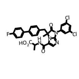 CC(NC(=O)c1cnc2n1C(C)(Cc1ccc(-c3ccc(F)cc3)cc1)C(=O)N2c1cc(Cl)cc(Cl)c1)C(=O)O